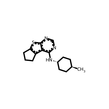 C[C@H]1CC[C@H](Nc2ncnc3sc4c(c23)CCC4)CC1